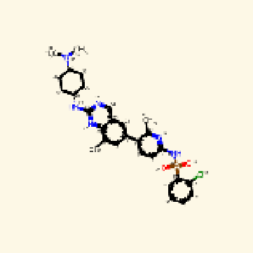 CCc1cc(-c2ccc(NS(=O)(=O)c3ccccc3Cl)nc2C)cc2cnc(N[C@H]3CC[C@H](N(C)C)CC3)nc12